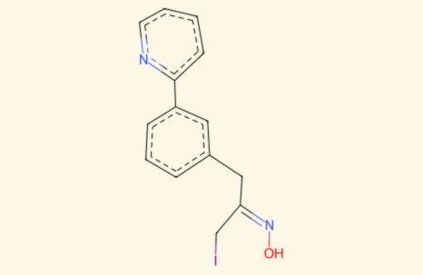 O/N=C(\CI)Cc1cccc(-c2ccccn2)c1